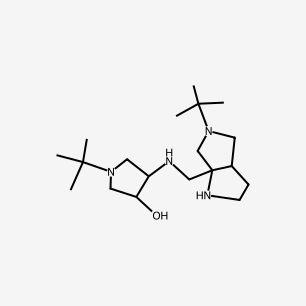 CC(C)(C)N1CC(O)C(NCC23CN(C(C)(C)C)CC2CCN3)C1